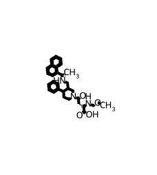 COCN[C@@H](CC(=O)N1CCC(c2ccccc2)C(CN[C@H](C)c2cccc3ccccc23)C1)C(=O)O